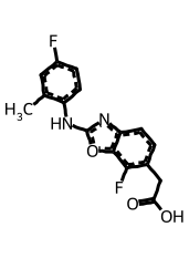 Cc1cc(F)ccc1Nc1nc2ccc(CC(=O)O)c(F)c2o1